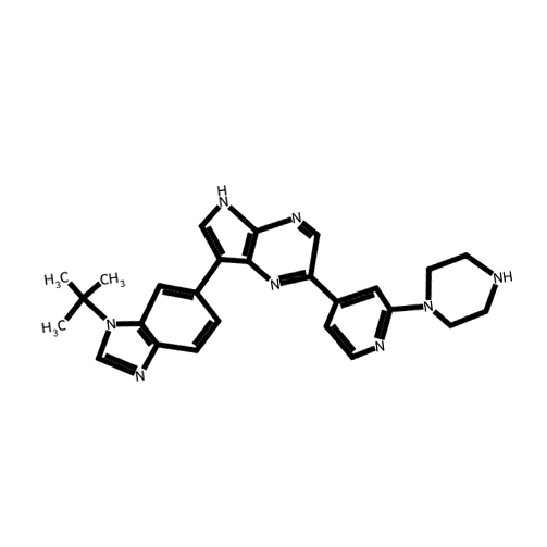 CC(C)(C)n1cnc2ccc(-c3c[nH]c4ncc(-c5ccnc(N6CCNCC6)c5)nc34)cc21